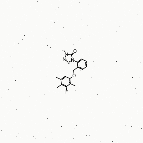 Cc1cc(OCc2ccccc2-n2nnn(C)c2=O)c(C)c(F)c1C